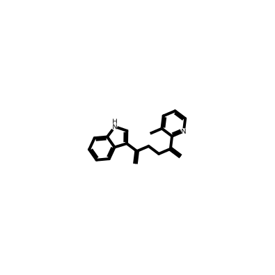 C=C(CCC(=C)c1c[nH]c2ccccc12)c1ncccc1C